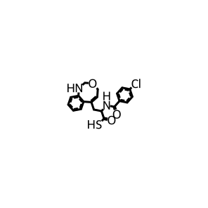 O=C(NC(C/C1=C/COCNc2ccccc21)C(=O)S)c1ccc(Cl)cc1